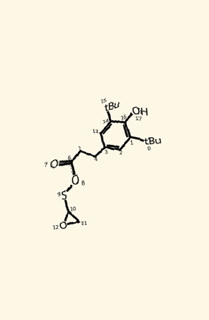 CC(C)(C)c1cc(CCC(=O)OSC2CO2)cc(C(C)(C)C)c1O